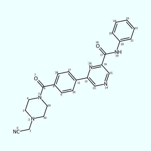 N#CCN1CCN(C(=O)c2ccc(-c3cncc(C(=O)Nc4ccccc4)n3)cc2)CC1